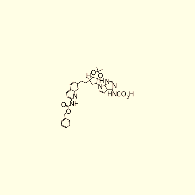 CC1(C)O[C@H]2[C@H](n3ccc4c(NC(=O)O)ncnc43)C[C@](C)(CCc3ccc4ccc(NC(=O)OCc5ccccc5)nc4c3)[C@H]2O1